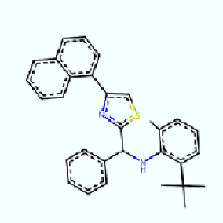 Cc1cccc(C(C)(C)C)c1NC(c1ccccc1)c1nc(-c2cccc3ccccc23)cs1